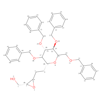 OC[C@H]1OC1CC[C@H]1OC(COCc2ccccc2)[C@H](OCc2ccccc2)[C@@H](OCc2ccccc2)C1OCc1ccccc1